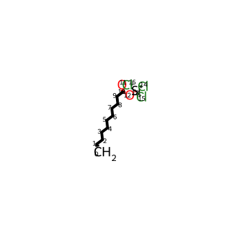 C=CCCCCCCCCC(=O)O[Si](Cl)(Cl)Cl